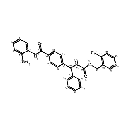 Nc1ccccc1NC(=O)c1ccc([C@@H](NC(=O)OCc2cnccc2Cl)c2ccccc2)cc1